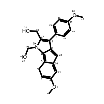 COC1=CCC2=c3c(c(-c4ccc(OC)cc4)c(CO)n3CO)=CC2=C1